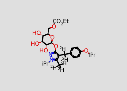 [2H]C([2H])([2H])c1c(C([2H])([2H])c2ccc(OC(C)C)cc2)c(O[C@@H]2O[C@H](COC(=O)OCC)[C@@H](O)[C@H](O)[C@H]2O)nn1C(C)C